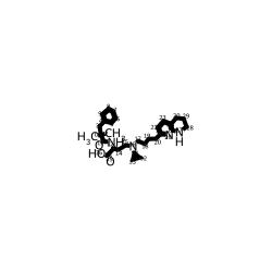 CC(C)(Cc1ccccc1)C(=O)NC(CCN(CCCCc1ccc2c(n1)NCCC2)C1CC1)C(=O)O